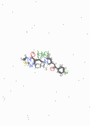 Cc1nc2sccn2c(=O)c1CCN1CCC(CC(=O)c2ccc(F)cc2)C1.Cl.Cl